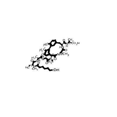 CCCCCCCCCCCCCCCC(=O)N(C)[C@H](CO)C(=O)N[C@H](C)C(=O)NCC(=O)N(C)[C@@H]1C(=O)N[C@@H](C)C(=O)N[C@H](C(=O)N[C@@H](C)C(=O)O)Cc2ccc(O)c(c2)-c2cc1ccc2C